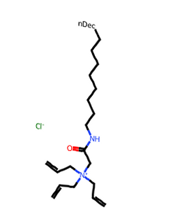 C=CC[N+](CC=C)(CC=C)CC(=O)NCCCCCCCCCCCCCCCCCC.[Cl-]